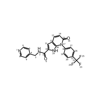 O=C(NCc1ccncc1)c1cc2ccc(=O)n(-c3ccc(C(F)(F)F)cc3)c2[nH]1